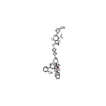 CC(C)[C@@H](C(=O)N1CC[C@@H](O)C1)c1onc(O[C@H]2CC3(C2)C[C@H](N2CCC(c4cnc(N5C6CCC5CN(c5c[nH]c7nnc(-c8ccccc8O)cc57)C6)nc4)CC2)C3)c1Cl